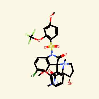 CNC(=O)[C@@H]1[C@@H](O)CC[N+]1(C)C1(c2ccccc2OC)C(=O)N(S(=O)(=O)c2ccc(OC)cc2OC(F)(F)F)c2ccc(Cl)cc21